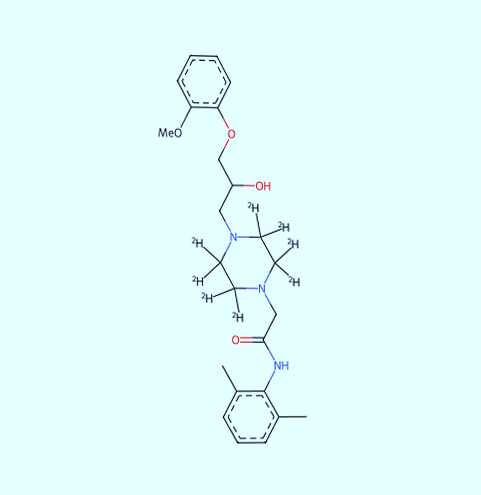 [2H]C1([2H])N(CC(=O)Nc2c(C)cccc2C)C([2H])([2H])C([2H])([2H])N(CC(O)COc2ccccc2OC)C1([2H])[2H]